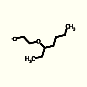 CCCCC(CC)OCC[O]